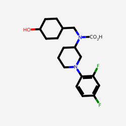 O=C(O)N(CC1CCC(O)CC1)C1CCCN(c2ccc(F)cc2F)C1